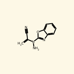 C=C(C#N)N(N)c1nc2ccccc2o1